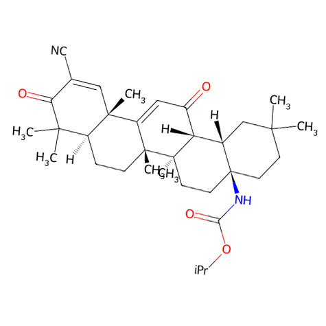 CC(C)OC(=O)N[C@]12CCC(C)(C)C[C@H]1[C@H]1C(=O)C=C3[C@@]4(C)C=C(C#N)C(=O)C(C)(C)[C@@H]4CC[C@@]3(C)[C@]1(C)CC2